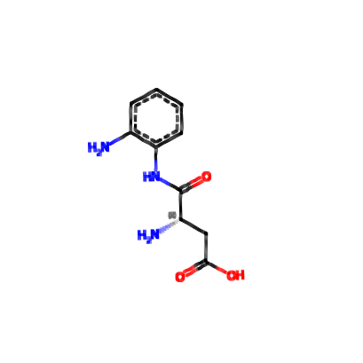 Nc1ccccc1NC(=O)[C@@H](N)CC(=O)O